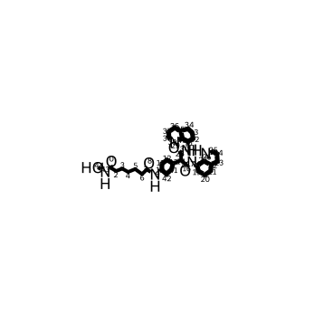 O=C(CCCCCC(=O)Nc1ccc(C(C(=O)Nc2cccc3cccnc23)C(=O)Nc2cccc3cccnc23)cc1)NO